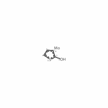 Oc1cccs1.[Mo]